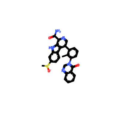 Cc1c(-c2cnc(C(N)=O)c3[nH]c4cc([S+](C)[O-])ccc4c23)cccc1-n1cnc2ccccc2c1=O